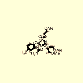 Bc1ccc(OP2(NC(N)=O)=NP(Cl)(OCCOC)=NP(OCCOC)(OCCOC)=N2)cc1